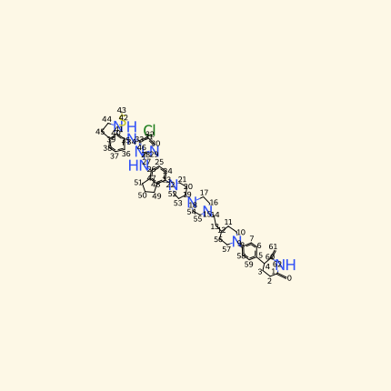 C=C1CCC(c2ccc(N3CCC(CCN4CCN(C5CCN(c6ccc(Nc7ncc(Cl)c(Nc8cccc9c8N(SC)CC9)n7)c7c6CCC7)CC5)CC4)CC3)cc2)C(=C)N1